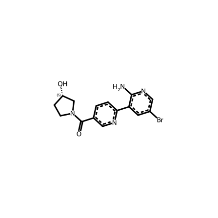 Nc1ncc(Br)cc1-c1ccc(C(=O)N2CC[C@H](O)C2)cn1